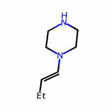 [CH2]CC=CN1CCNCC1